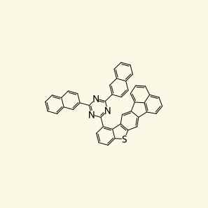 c1ccc2cc(-c3nc(-c4ccc5ccccc5c4)nc(-c4cccc5sc6cc7c(cc6c45)-c4cccc5cccc-7c45)n3)ccc2c1